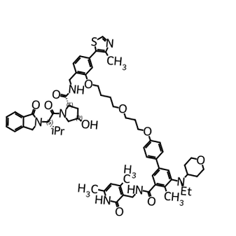 CCN(c1cc(-c2ccc(OCCCOCCCCOc3cc(-c4scnc4C)ccc3CNC(=O)[C@@H]3C[C@@H](O)CN3C(=O)[C@H](C(C)C)N3Cc4ccccc4C3=O)cc2)cc(C(=O)NCc2c(C)cc(C)[nH]c2=O)c1C)C1CCOCC1